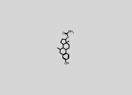 CC1Cc2cc(O)ccc2C2CCC3(C)C(OC(N)=O)CCC3C12